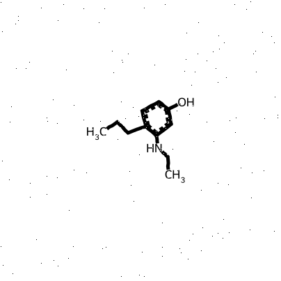 CCCc1ccc(O)cc1NCC